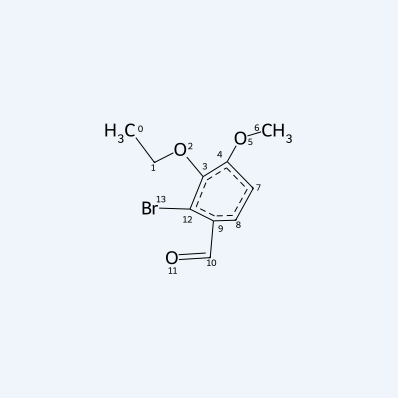 CCOc1c(OC)ccc(C=O)c1Br